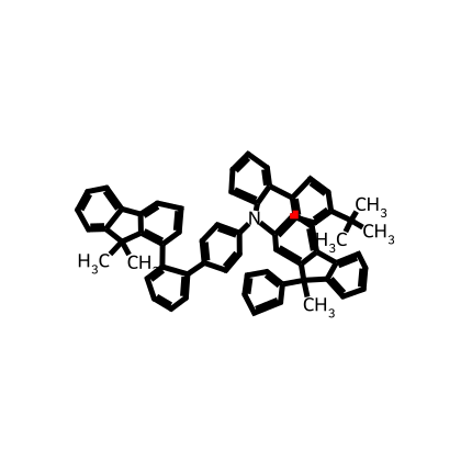 CC(C)(C)c1ccc(-c2ccccc2N(c2ccc(-c3ccccc3-c3cccc4c3C(C)(C)c3ccccc3-4)cc2)c2ccc3c(c2)C(C)(c2ccccc2)c2ccccc2-3)cc1